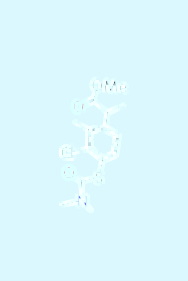 COC(=O)C(C)c1ccc(SC(=O)N(C)C)c(Cl)c1C